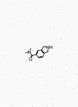 CN(C)C(=O)c1ccc2c(c1)CNC2